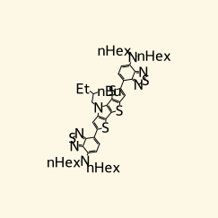 CCCCCCN(CCCCCC)c1ccc(-c2cc3c(s2)c2sc4cc(-c5ccc(N(CCCCCC)CCCCCC)c6nsnc56)sc4c2n3CC(CC)CCCC)c2nsnc12